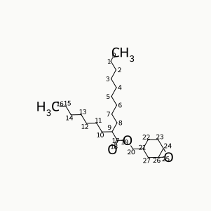 CCCCCCCCCC(CCCCCCC)C(=O)OCC1CCC2OC2C1